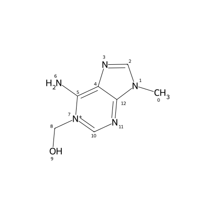 Cn1cnc2c(N)[n+](CO)cnc21